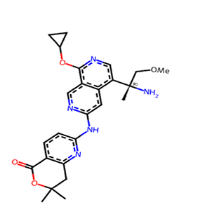 COC[C@](C)(N)c1cnc(OC2CC2)c2cnc(Nc3ccc4c(n3)CC(C)(C)OC4=O)cc12